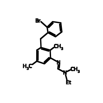 CCN(C)C=Nc1cc(C)cc(Cc2ccccc2Br)c1C